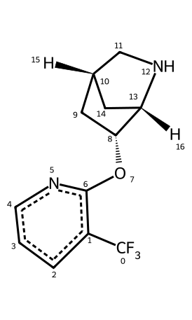 FC(F)(F)c1cccnc1O[C@@H]1C[C@@H]2CN[C@H]1C2